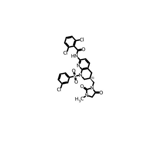 CN1CC(=O)N(C[C@@H]2Cc3ccc(NC(=O)c4c(Cl)cccc4Cl)nc3N(S(=O)(=O)c3cccc(Cl)c3)C2)C1=O